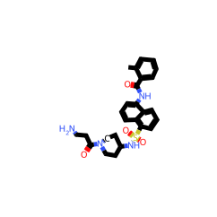 Cc1ccccc1C(=O)Nc1cccc2c(S(=O)(=O)NC3CCN(C(=O)CCN)CC3)cccc12